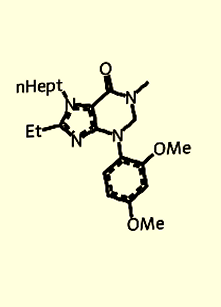 CCCCCCCn1c(CC)nc2c1C(=O)N(C)CN2c1ccc(OC)cc1OC